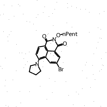 CCCCCON1C(=O)c2ccc(N3CCCC3)c3cc(Br)cc(c23)C1=O